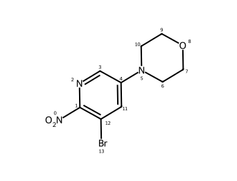 O=[N+]([O-])c1ncc(N2CCOCC2)cc1Br